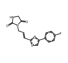 O=C1CNC(=O)N1CC=Cc1nc(-c2ccc(F)cc2)cs1